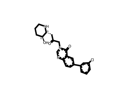 O=C(C[C@H]1NCCC[C@@H]1O)Cn1cnc2ccc(-c3cccc(Cl)c3)cc2c1=O